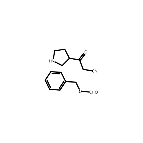 N#CCC(=O)C1CCNC1.O=COCc1ccccc1